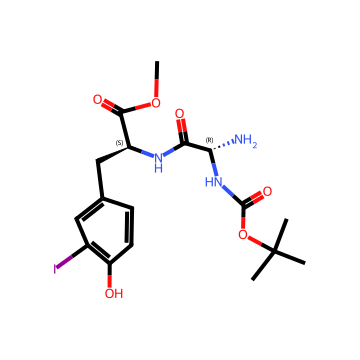 COC(=O)[C@H](Cc1ccc(O)c(I)c1)NC(=O)[C@H](N)NC(=O)OC(C)(C)C